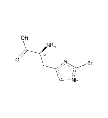 N[C@@H](Cc1c[nH]c(Br)n1)C(=O)O